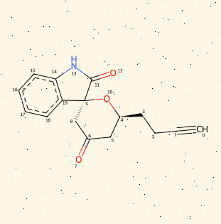 C#CCC[C@H]1CC(=O)C[C@@]2(O1)C(=O)Nc1ccccc12